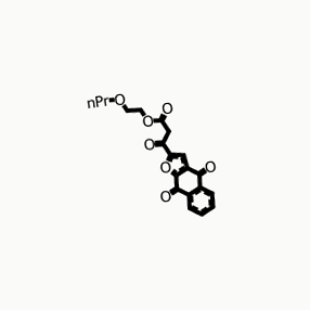 CCCOCCOC(=O)CC(=O)c1cc2c(o1)C(=O)c1ccccc1C2=O